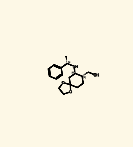 C[C@H](N[C@@H]1CC2(CC[C@H]1CO)OCCO2)c1ccccc1